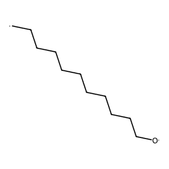 [CH2]CCCCCCCCCC[O]